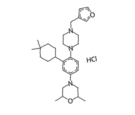 CC1CN(c2ccc(N3CCN(Cc4ccoc4)CC3)c(C3CCC(C)(C)CC3)c2)CC(C)O1.Cl